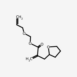 C=CCOCOC(=O)C(=C)CC1CCCO1